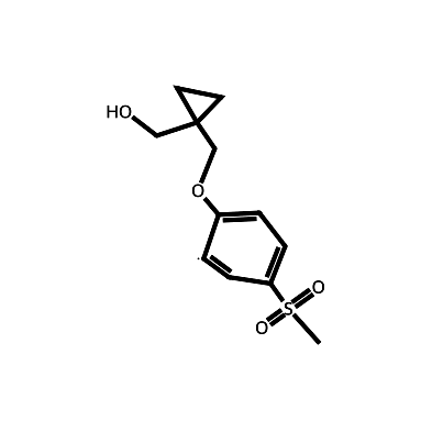 CS(=O)(=O)c1c[c]c(OCC2(CO)CC2)cc1